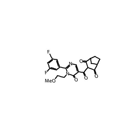 COCCn1c(-c2cc(F)cc(F)c2)ncc(C(=O)C2C(=O)C3CCC(C3)C2=O)c1=O